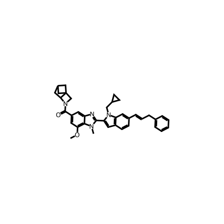 COc1cc(C(=O)N2CC34CC(CC23)C4)cc2nc(-c3cc4ccc(/C=C/Cc5ccccc5)cc4n3CC3CC3)n(C)c12